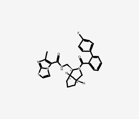 Cc1nc2sccn2c1C(=O)NC[C@@H]1[C@H]2CCC[C@H]2CN1C(=O)c1ccccc1-c1ccc(F)cc1